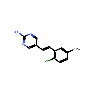 COc1ccc(Cl)c(/C=C/c2cnc(N)nc2)c1